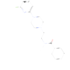 CN(CCN1CCN(c2cccc(F)n2)CC1)C(=O)C1CCCCC1